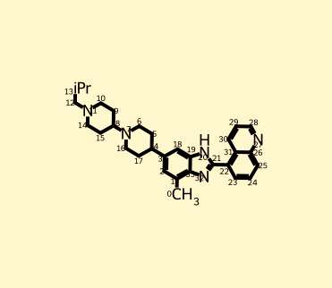 Cc1cc(C2CCN(C3CCN(CC(C)C)CC3)CC2)cc2[nH]c(-c3cccc4ncccc34)nc12